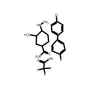 CNC1CCC(C(N)=O)CC1C.Fc1ccc(-c2ccc(Cl)cc2)cc1.O=C(O)C(F)(F)F